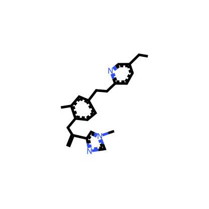 C=C(Cc1ccc(CCc2ccc(CC)cn2)cc1C)c1cn(C)cn1